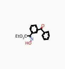 CCOC(=O)C(=NO)c1cccc(C(=O)c2ccccc2)c1